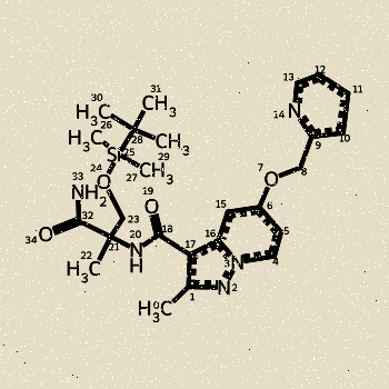 Cc1nn2ccc(OCc3ccccn3)cc2c1C(=O)NC(C)(CO[Si](C)(C)C(C)(C)C)C(N)=O